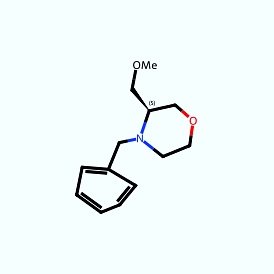 COC[C@H]1COCCN1Cc1ccccc1